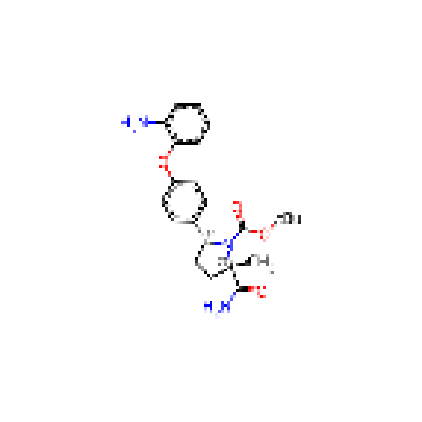 CC(C)(C)OC(=O)N1[C@@H](c2ccc(Oc3ccccc3N)cc2)CC[C@@]1(C)C(N)=O